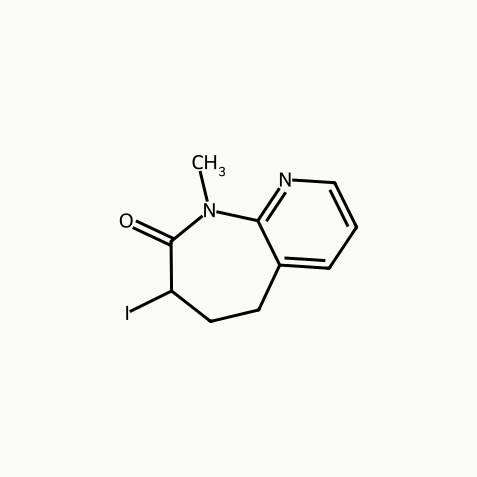 CN1C(=O)C(I)CCc2cccnc21